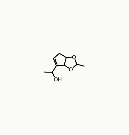 CC1OC2CC=C(C(C)O)C2O1